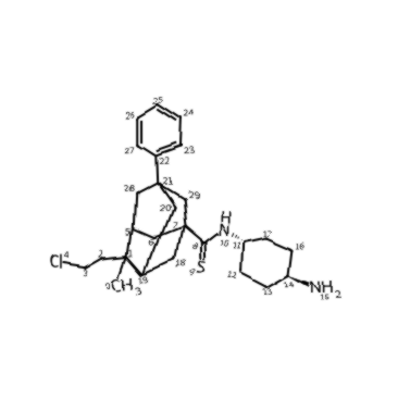 CC1(CCCl)C2CC3(C(=S)N[C@H]4CC[C@H](N)CC4)CC1CC(c1ccccc1)(C2)C3